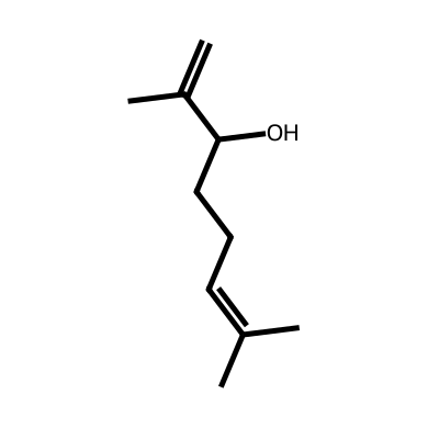 C=C(C)C(O)CCC=C(C)C